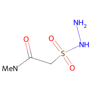 CNC(=O)CS(=O)(=O)NN